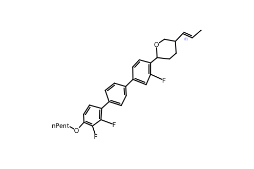 C/C=C/C1CCC(c2ccc(-c3ccc(-c4ccc(OCCCCC)c(F)c4F)cc3)cc2F)OC1